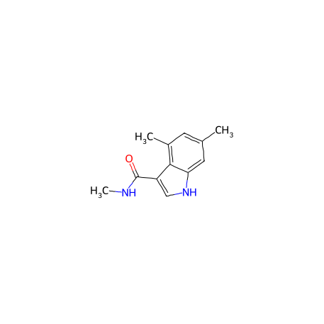 CNC(=O)c1c[nH]c2cc(C)cc(C)c12